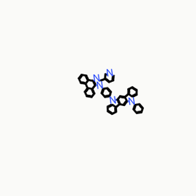 c1ccc(-n2c3ccccc3c3cc4c(cc32)c2ccccc2n4-c2ccc(-n3c(-c4cccnc4)nc4c5ccccc5c5ccccc5c43)cc2)cc1